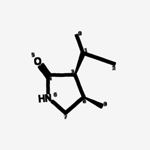 CC(C)[C@@H]1C(=O)NC[C@@H]1C